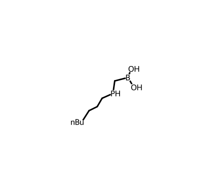 CCCCCCCPCB(O)O